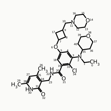 CCN(c1cc(OC2CC(CN3CCOCC3)C2)cc(C(=O)NCc2c(C)cc(C)[nH]c2=O)c1Cl)C1CCOCC1